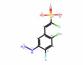 NNc1cc(C=C(Cl)P(=O)(O)O)c(Cl)cc1F